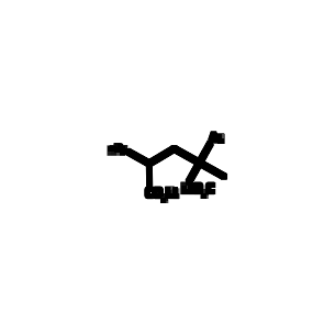 CCCC(CC(C)(C(C)=O)C(=O)OCC)C(=O)OCC